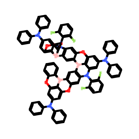 Fc1cccc(F)c1N1c2cc3c(cc2B2c4cc5c(cc4Oc4cc(N(c6ccccc6)c6ccccc6)cc1c42)N(c1c(F)cccc1F)c1cc(N(c2ccccc2)c2ccccc2)cc2c1B5c1ccccc1O2)B1c2ccccc2Oc2cc(N(c4ccccc4)c4ccccc4)cc(c21)O3